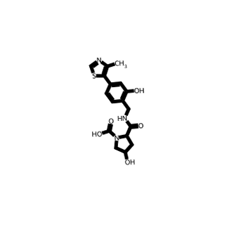 Cc1ncsc1-c1ccc(CNC(=O)C2CC(O)CN2C(=O)O)c(O)c1